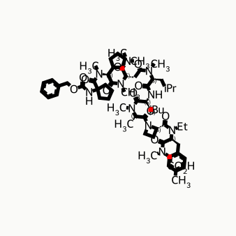 CC[C@H](C)[C@H](NC(=O)[C@H](CC(C)C)N(C)C(=O)C[C@@H](C(=O)N(C)C)N(C)C(=O)[C@H](C1CCCC1)N(C)C(=O)C1(NC(=O)OCc2ccccc2)CCCC1)C(=O)N(C)[C@@H](C)C(=O)N1CC[C@H]1C(=O)N(CC)[C@@H](Cc1ccc(C)cc1)C(=O)N(C)CC(=O)O